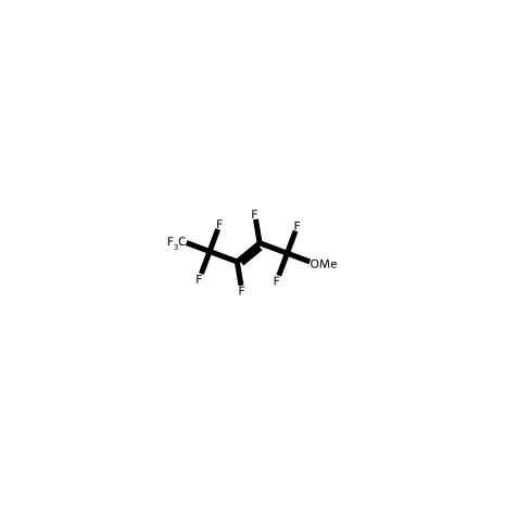 COC(F)(F)/C(F)=C(\F)C(F)(F)C(F)(F)F